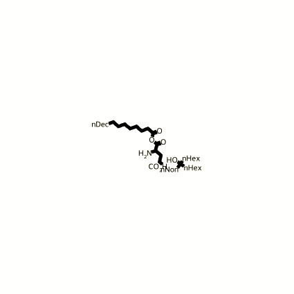 CCCCCCCCCC(O)(CCCCCC)CCCCCC.CCCCCCCCCCCCCCCCCC(=O)OC(=O)C(N)CCC(=O)O